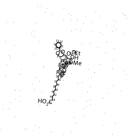 CCOCOC(C1CCOC(c2ccccc2)O1)C(OS(=O)(=O)C(F)(F)C(F)(F)OC(F)(F)C(F)(F)CCCCCCCCCCC(=O)O)C(O)OC